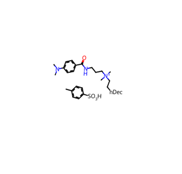 CCCCCCCCCCCC[N+](C)(C)CCCNC(=O)c1ccc(N(C)C)cc1.Cc1ccc(S(=O)(=O)O)cc1